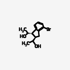 CC(O)[C@@H]1Cc2c(Br)cccc2[C@H]1C(C)O